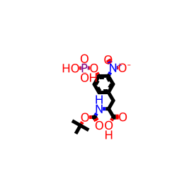 CC(C)(C)OC(=O)NC(Cc1ccc(OP(=O)(O)O)c([N+](=O)[O-])c1)C(=O)O